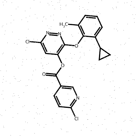 Cc1cccc(C2CC2)c1Oc1nnc(Cl)cc1OC(=O)c1ccc(Cl)nc1